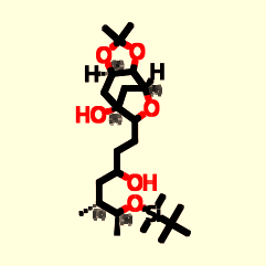 C[C@H](CC(O)CCC1O[C@@H]2C[C@@]1(O)C[C@H]1OC(C)(C)OC21)[C@H](C)O[Si](C)(C)C(C)(C)C